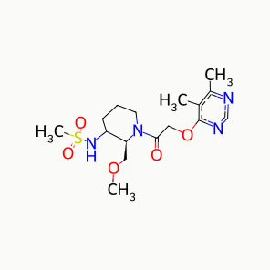 COC[C@H]1C(NS(C)(=O)=O)CCCN1C(=O)COc1ncnc(C)c1C